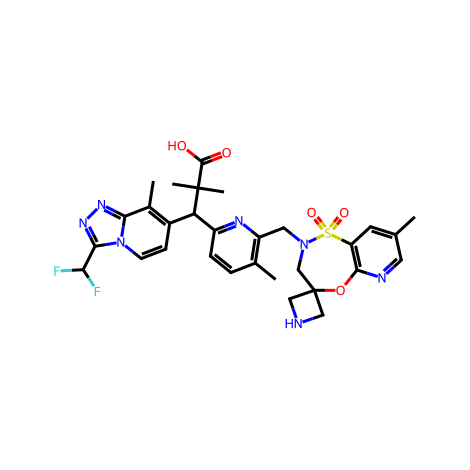 Cc1cnc2c(c1)S(=O)(=O)N(Cc1nc(C(c3ccn4c(C(F)F)nnc4c3C)C(C)(C)C(=O)O)ccc1C)CC1(CNC1)O2